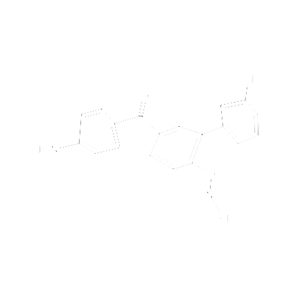 Nc1ccc(C(=O)c2ccc(ONCl)c(-c3cccc(Cl)c3)c2)cc1